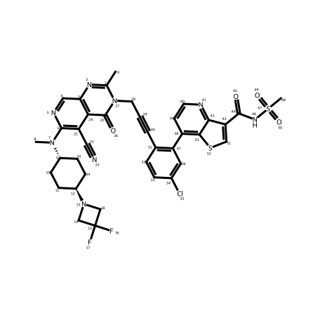 Cc1nc2cnc(N(C)[C@H]3CC[C@H](N4CC(F)(F)C4)CC3)c(C#N)c2c(=O)n1CC#Cc1ccc(Cl)cc1-c1ccnc2c(C(=O)NS(C)(=O)=O)csc12